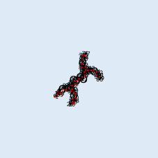 C=Cc1ccc(COCc2ccc(N(c3ccc(COCc4ccc(C=C)cc4)cc3)c3ccc(C(=O)OCCOC(=O)c4ccc(N(c5ccc(COCc6ccc(C=C)cc6)cc5)c5ccc(COCc6ccc(C=C)cc6)cc5)cc4)cc3)cc2)cc1